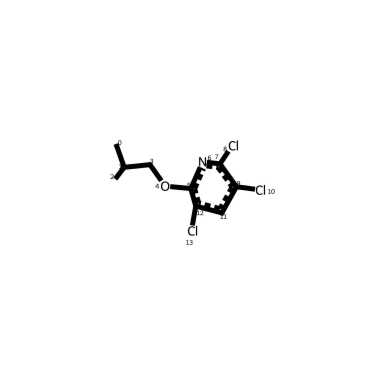 CC(C)COc1nc(Cl)c(Cl)cc1Cl